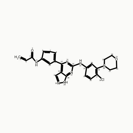 C=CC(=O)Nc1cccc(-c2nc(Nc3ccc(Cl)c(N4CCOCC4)c3)nc3[nH]ncc23)c1